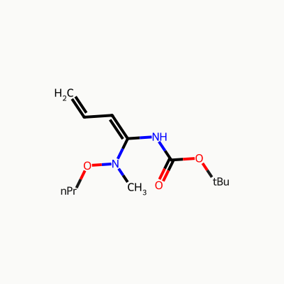 C=C/C=C(/NC(=O)OC(C)(C)C)N(C)OCCC